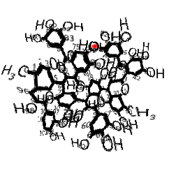 Cc1cc(O)c(C2c3c(O)cc(O)c(C4c5c(O)cc(O)c(C6c7c(O)cc(O)c(C)c7OC(c7cc(O)c(O)c(O)c7)C6OC(=O)c6cc(O)c(O)c(O)c6)c5OC(c5cc(O)c(O)c(O)c5)C4O)c3OC(c3ccc(O)c(O)c3)C2OC(=O)c2cc(O)c(O)c(O)c2)c2c1CC(O)C(c1ccc(O)c(O)c1)O2